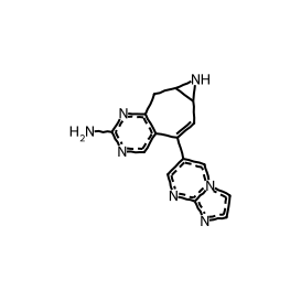 Nc1ncc2c(n1)CC1NC1C=C2c1cnc2nccn2c1